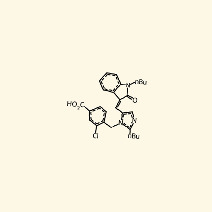 CCCCc1ncc(C=C2C(=O)N(CCCC)c3ccccc32)n1Cc1ccc(C(=O)O)cc1Cl